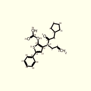 C=CCN(C(=O)CC1CCCC1)c1cc(-c2ccccc2)sc1OC(=O)O